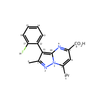 Cc1nn2c(C(C)C)cc(C(=O)O)nc2c1-c1ccccc1F